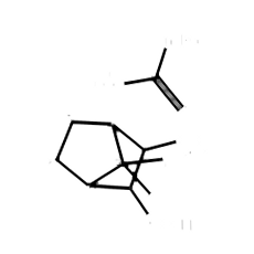 C=C(CCCCCC)C(=O)OCC.CC1(C)C2CCC1C(C(=O)O)C2C(=O)O